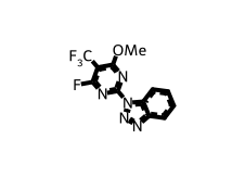 COc1nc(-n2nnc3ccccc32)nc(F)c1C(F)(F)F